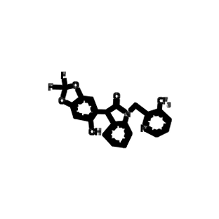 O=C1C(c2cc3c(cc2O)OC(F)(F)O3)c2ccccc2N1Cc1ncccc1C(F)(F)F